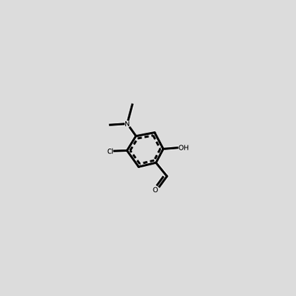 CN(C)c1cc(O)c(C=O)cc1Cl